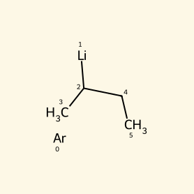 [Ar].[Li][CH](C)CC